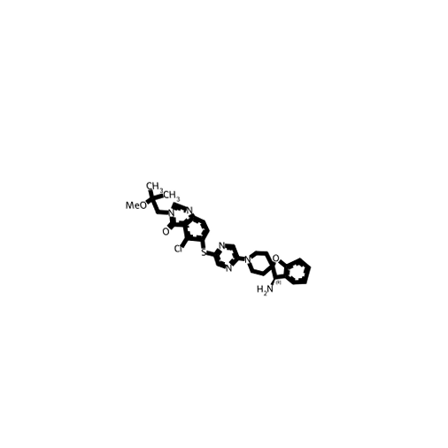 COC(C)(C)Cn1cnc2ccc(Sc3cnc(N4CCC5(CC4)Oc4ccccc4[C@H]5N)cn3)c(Cl)c2c1=O